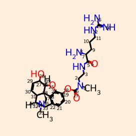 CN(CCNC(=O)[C@@H](N)CCCNC(=N)N)C(=O)Oc1ccc2c3c1O[C@H]1C(O)C=CC4[C@@H](C2)N(C)CC[C@@]341